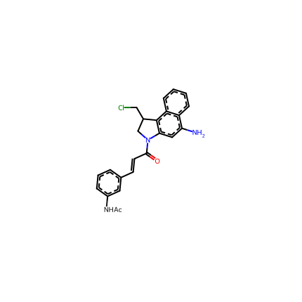 CC(=O)Nc1cccc(C=CC(=O)N2CC(CCl)c3c2cc(N)c2ccccc32)c1